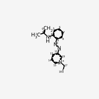 C=C(C)Nc1ccccc1N=Nc1ccc[n+](CI)c1